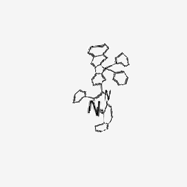 c1ccc(-c2nc3c(ccc4ccccc43)nc2-c2ccc3c(c2)C(c2ccccc2)(c2ccccc2)c2cc4ccccc4cc2-3)cc1